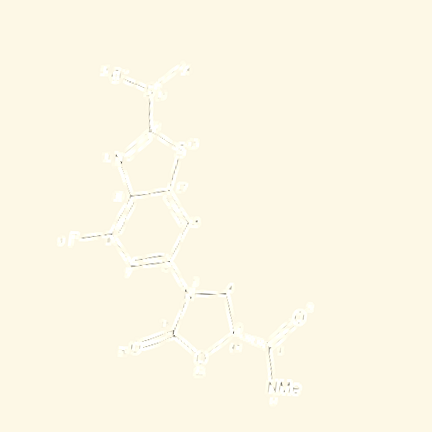 CNC(=O)[C@H]1CN(c2cc(F)c3nc([S+](C)[O-])sc3c2)C(=O)O1